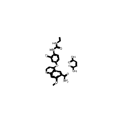 CCNC(=O)Nc1ccc(Oc2ccnc3cc(OC)c(C(N)=O)cc23)cc1Cl.O=C(O)/C=C\C(=O)O